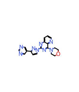 c1cnc2c(N3CCOCC3)nc(-n3ccc(-c4cncnc4)n3)nc2c1